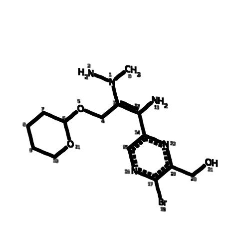 CN(N)/C(COC1CCCCO1)=C(\N)c1cnc(Br)c(CO)n1